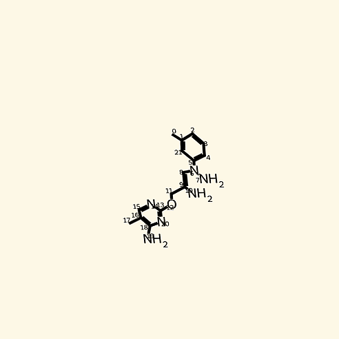 Cc1cccc(N(N)/C=C(\N)COc2ncc(C)c(N)n2)c1